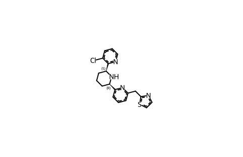 Clc1cccnc1[C@@H]1CCC[C@H](c2cccc(Cc3nccs3)n2)N1